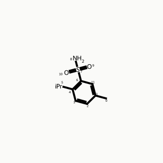 Cc1ccc(C(C)C)c(S(N)(=O)=O)c1